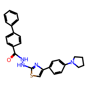 O=C(NNc1nc(-c2ccc(N3CCCC3)cc2)cs1)c1ccc(-c2ccccc2)cc1